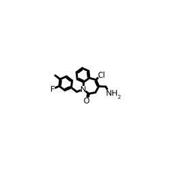 Cc1ccc(CN2C(=O)CC(CN)=C(Cl)c3ccccc32)cc1F